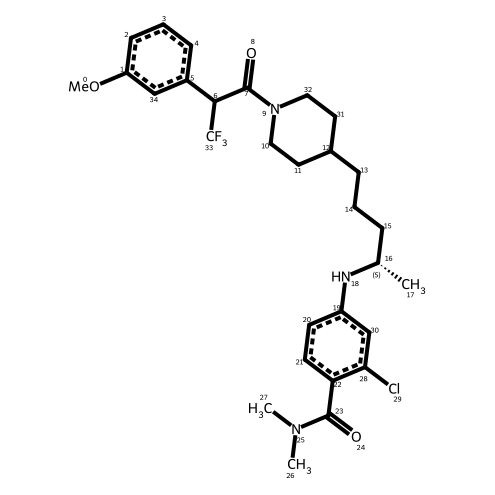 COc1cccc(C(C(=O)N2CCC(CCC[C@H](C)Nc3ccc(C(=O)N(C)C)c(Cl)c3)CC2)C(F)(F)F)c1